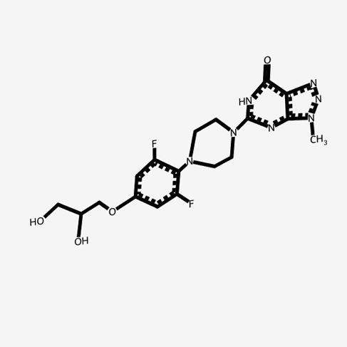 Cn1nnc2c(=O)[nH]c(N3CCN(c4c(F)cc(OCC(O)CO)cc4F)CC3)nc21